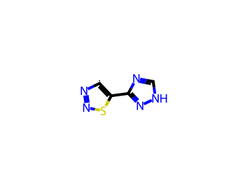 [c]1nnsc1-c1nc[nH]n1